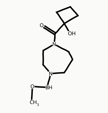 COBN1CCCN(C(=O)C2(O)CCC2)CC1